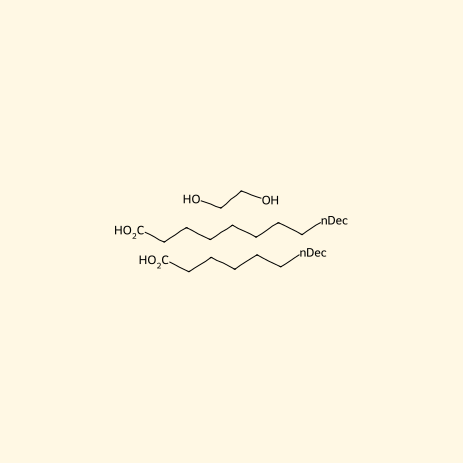 CCCCCCCCCCCCCCCC(=O)O.CCCCCCCCCCCCCCCCCC(=O)O.OCCO